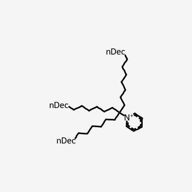 CCCCCCCCCCCCCCCCCC(CCCCCCCCCCCCCCCC)(CCCCCCCCCCCCCCCC)[n+]1ccccc1